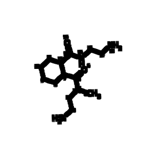 CN(CCN)C(=O)C1CCCCC1C(=O)NCCN